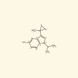 CC(C)n1cc(C2(C)CS2)c2cc(F)cnc21